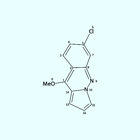 COc1c2ccc(Cl)cc2nn2cccc12